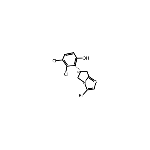 CCc1cnc2n1C[C@H](c1c(O)ccc(Cl)c1Cl)C2